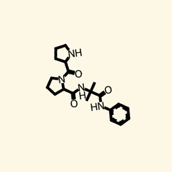 CC(C)(NC(=O)C1CCCN1C(=O)C1CCCN1)C(=O)Nc1ccccc1